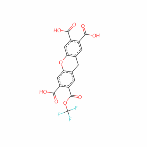 O=C(O)c1cc2c(cc1C(=O)O)Oc1cc(C(=O)O)c(C(=O)OC(F)(F)F)cc1C2